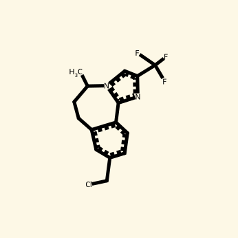 CC1CCc2cc(CCl)ccc2-c2nc(C(F)(F)F)cn21